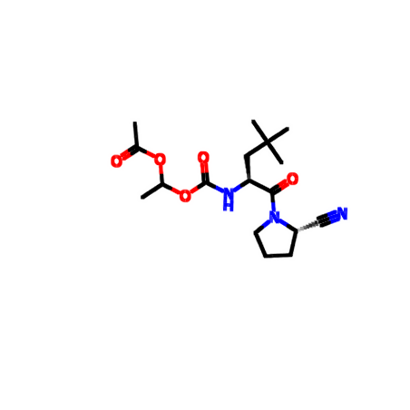 CC(=O)OC(C)OC(=O)N[C@@H](CC(C)(C)C)C(=O)N1CCC[C@H]1C#N